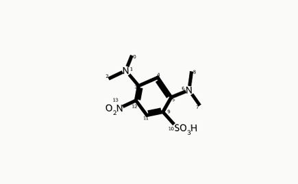 CN(C)c1cc(N(C)C)c(S(=O)(=O)O)cc1[N+](=O)[O-]